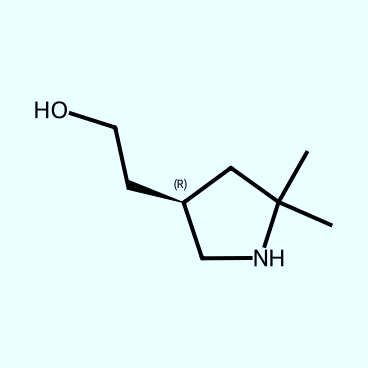 CC1(C)C[C@H](CCO)CN1